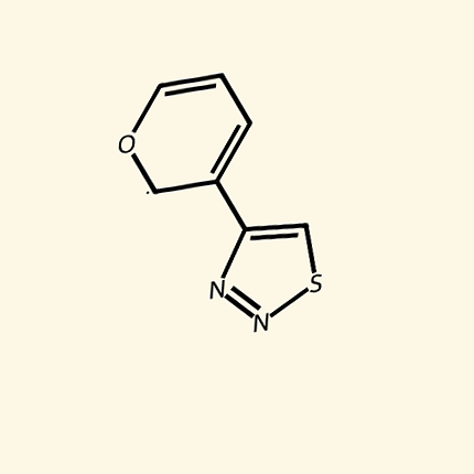 [CH]1OC=CC=C1c1csnn1